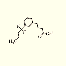 CCCC(F)(F)c1cccc(CCCC(=O)O)c1